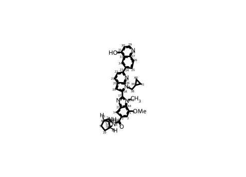 COc1cc(C(=O)N2C[C@H]3CC[C@@H]2[C@@H]3N)cc2nc(-c3cc4ccc(-c5ccc6nccc(O)c6c5)nc4n3CC3CC3)n(C)c12